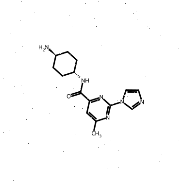 Cc1cc(C(=O)N[C@H]2CC[C@H](N)CC2)nc(-n2ccnc2)n1